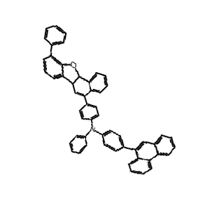 C1=C(c2ccc(N(c3ccccc3)c3ccc(-c4cc5ccccc5c5ccccc45)cc3)cc2)c2ccccc2C2Oc3c(-c4ccccc4)cccc3C12